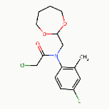 Cc1cc(Cl)ccc1N(CC1OCCCCO1)C(=O)CCl